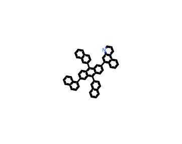 c1ccc2cc(-c3c4ccc(-c5cc6ncccc6c6ccccc56)cc4c(-c4ccc5ccccc5c4)c4ccc(-c5cccc6ccccc56)cc34)ccc2c1